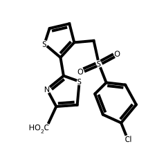 O=C(O)c1csc(-c2sccc2CS(=O)(=O)c2ccc(Cl)cc2)n1